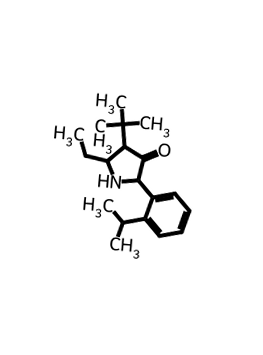 CCC1NC(c2ccccc2C(C)C)C(=O)C1C(C)(C)C